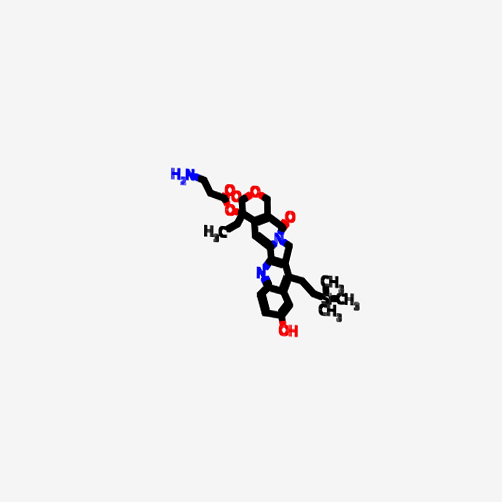 CCC1(OC(=O)CCN)C(=O)OCc2c1cc1n(c2=O)Cc2c-1nc1ccc(O)cc1c2CC[Si](C)(C)C